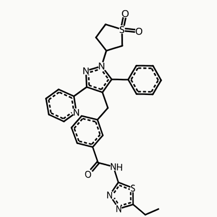 CCc1nnc(NC(=O)c2cccc(Cc3c(-c4ccccn4)nn(C4CCS(=O)(=O)C4)c3-c3ccccc3)c2)s1